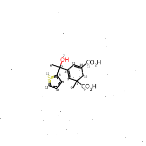 CC1(C(=O)O)C=C(C(C)(O)c2cccs2)C=C(C(=O)O)C1